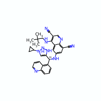 CC(C)(C)CNc1c(C#N)cnc2c(C#N)cc(N[C@H](C3=CN(C4CC4)NN3)c3cccc4ncccc34)cc12